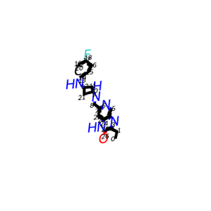 CCc1nc2cnc(CNC3CC(Nc4ccc(F)cc4)C3)cc2[nH]c1=O